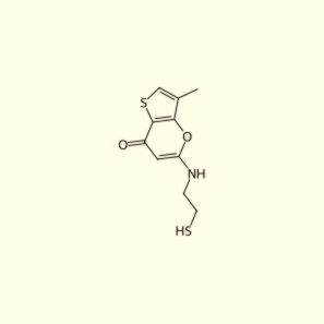 Cc1csc2c(=O)cc(NCCS)oc12